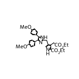 CCOC(=O)Cc1c(Cc2nc(-c3ccc(OC)cc3)c(-c3ccc(OC)cc3)[nH]2)c[nH]c1C(=O)OCC